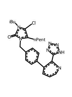 CCCCCc1c(Cl)n(C(C)CC)c(=O)n1Cc1ccc(-c2cccnc2-c2nnn[nH]2)cc1